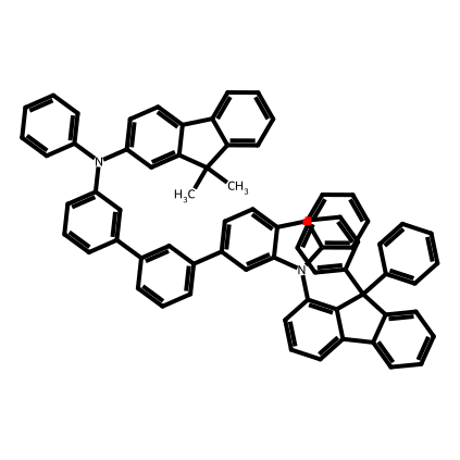 CC1(C)c2ccccc2-c2ccc(N(c3ccccc3)c3cccc(-c4cccc(-c5ccc6c7ccccc7n(-c7cccc8c7C(c7ccccc7)(c7ccccc7)c7ccccc7-8)c6c5)c4)c3)cc21